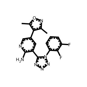 Cc1noc(C)c1-c1cnc(N)c(-c2nnnn2-c2cccc(F)c2F)c1